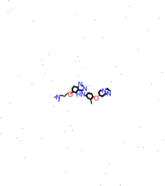 Cc1cc(Nc2ncnc3ccc(OCCCN(C)C)cc23)ccc1Oc1ccn2ccnc2c1